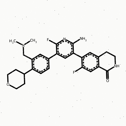 CN(C)Cc1cc(-c2cc(-c3cc4c(cc3F)C(=O)NCC4)c(N)nc2F)ccc1C1CCOCC1